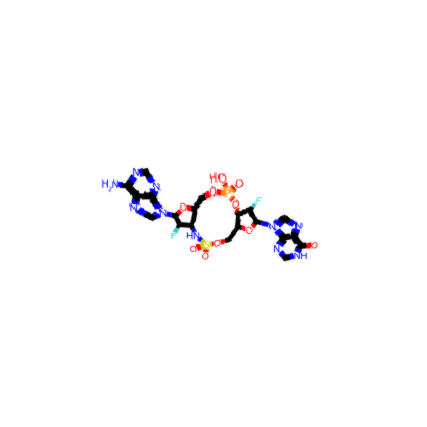 Nc1ncnc2c1ncn2C1OC2COP(=O)(O)OC3C(COS(=O)(=O)NC2C1F)OC(n1cnc2c(=O)[nH]cnc21)C3F